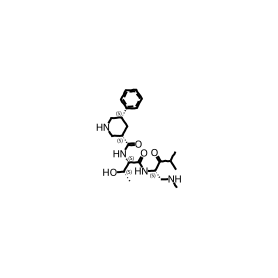 CNC[C@H](NC(=O)[C@@H](NC(=O)[C@@H]1CNC[C@H](c2ccccc2)C1)[C@H](C)O)C(=O)C(C)C